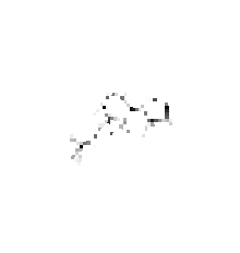 CCC1CCC2C3CCC(C)(C)C(C)(CCC(=N)S)C3CCC12C